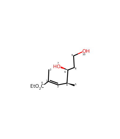 CCOC(=O)/C(C)=C/[C@H](C)[C@@H](O)CCO